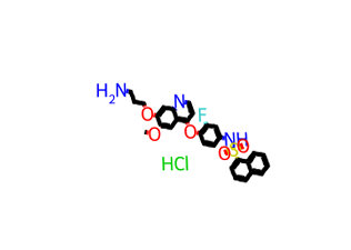 COc1cc2c(Oc3ccc(NS(=O)(=O)c4cccc5ccccc45)cc3F)ccnc2cc1OCCCN.Cl